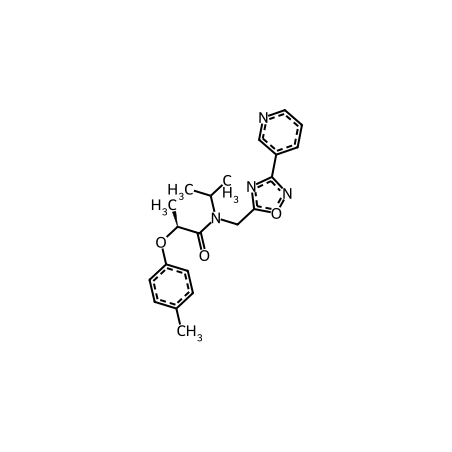 Cc1ccc(O[C@@H](C)C(=O)N(Cc2nc(-c3cccnc3)no2)C(C)C)cc1